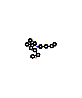 c1ccc(C2(c3ccccc3)c3ccccc3-c3c(N(c4ccc(-c5ccc(-c6ccc7ccccc7c6)cc5)cc4)c4cccc(-c5cccc6oc7ccccc7c56)c4)cccc32)cc1